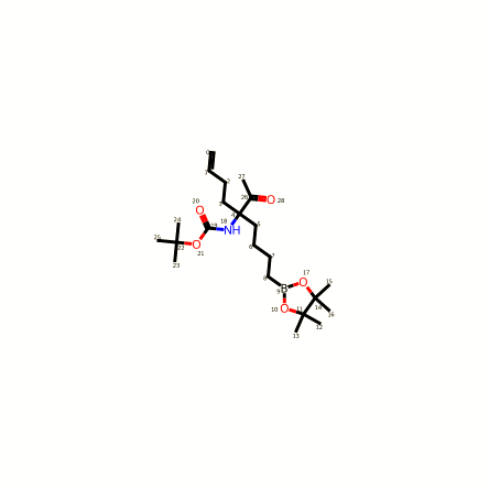 C=CCCC(CCCCB1OC(C)(C)C(C)(C)O1)(NC(=O)OC(C)(C)C)C(C)=O